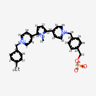 CCc1ccc(C[n+]2ccc(-c3ccc(-c4cc[n+](Cc5ccc(COP(=O)=O)cc5)cc4)n3C)cc2)cc1